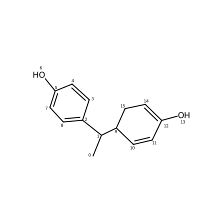 CC(c1ccc(O)cc1)C1C=CC(O)=CC1